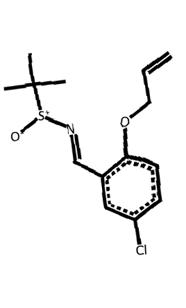 C=CCOc1ccc(Cl)cc1C=N[S+]([O-])C(C)(C)C